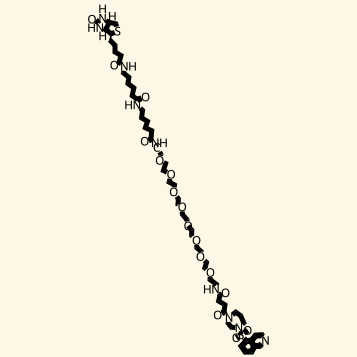 O=C(CCCCCNC(=O)CCCC[C@@H]1SC[C@@H]2NC(=O)N[C@@H]21)NCCCCCC(=O)NCCOCCOCCOCCOCCOCCOCCOCCOCCNC(=O)CCC(=O)N1CCCN(S(=O)(=O)c2cccc3cnccc23)CC1